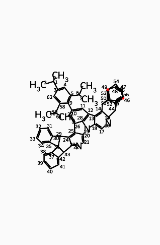 CC(C)c1cc(C(C)C)c(-c2cc3c4c5c(ncc4n4c6cnc7c(c6c(c2)c34)C2c3ccccc3C23c2ccccc2C73)C2c3ccccc3C5c3ccccc32)c(C(C)C)c1